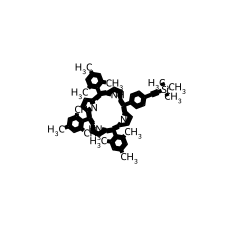 Cc1cc(C)c(-c2c3nc(c(-c4c(C)cc(C)cc4C)c4ccc([nH]4)c(-c4c(C)cc(C)cc4C)c4nc(c(-c5ccc(C#C[Si](C)(C)C)cc5)c5ccc2[nH]5)C=C4)C=C3)c(C)c1